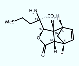 CSCC[C@](N)(C(=O)O)[C@@H]1OC(=O)[C@@H]2[C@H]1[C@@H]1C=C[C@H]2C1